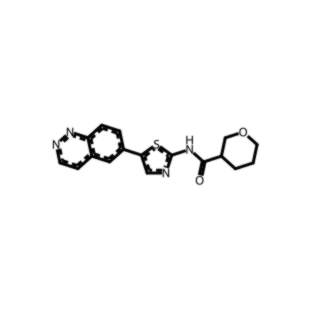 O=C(Nc1ncc(-c2ccc3nnccc3c2)s1)C1CCCOC1